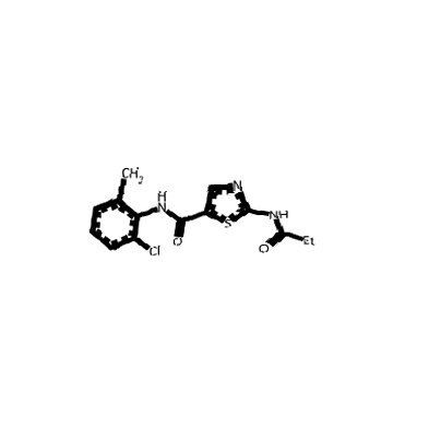 CCC(=O)Nc1ncc(C(=O)Nc2c(C)cccc2Cl)s1